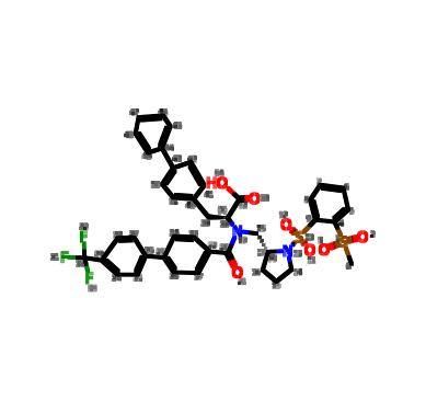 CS(=O)(=O)c1ccccc1S(=O)(=O)N1CCC[C@@H]1CN(C(=O)c1ccc(-c2ccc(C(F)(F)F)cc2)cc1)[C@@H](Cc1ccc(-c2ccccc2)cc1)C(=O)O